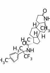 Cc1ccc(C(C)(NC(=O)[C@H]2CC[C@H]3[C@@H]4CC=C5NC(=O)CC[C@]5(C)[C@H]4CC[C@]23C)C(F)(F)F)cc1